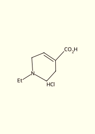 CCN1CC=C(C(=O)O)CC1.Cl